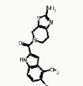 Cc1c(F)ccc2[nH]c(C(=O)N3CCc4nc(N)sc4C3)cc12